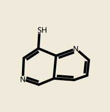 Sc1cncc2cccnc12